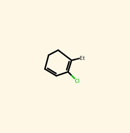 CCC1=C(Cl)C=CCC1